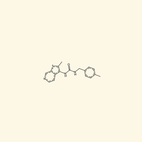 Cc1ccc(CNC(=O)Nc2c(C)sc3cnccc23)cc1